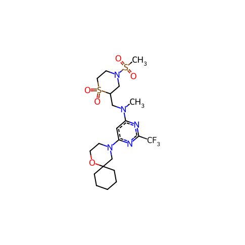 CN(CC1CN(S(C)(=O)=O)CCS1(=O)=O)c1cc(N2CCOC3(CCCCC3)C2)nc(C(F)(F)F)n1